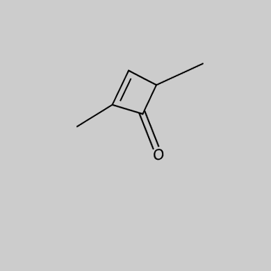 CC1=CC(C)C1=O